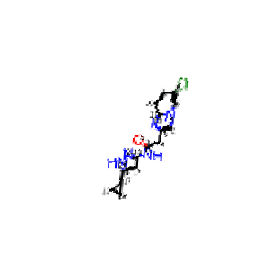 O=C(Cc1cn2cc(Cl)ccc2n1)Nc1cc(C2CC2)[nH]n1